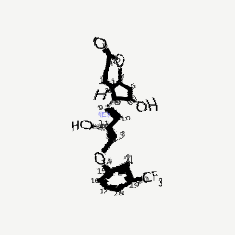 O=C1C[C@H]2C(C[C@@H](O)[C@@H]2/C=C/[C@@H](O)COc2cccc(C(F)(F)F)c2)O1